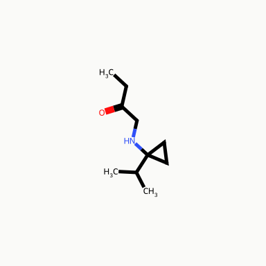 CCC(=O)CNC1(C(C)C)CC1